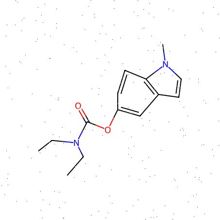 CCN(CC)C(=O)Oc1ccc2c(ccn2C)c1